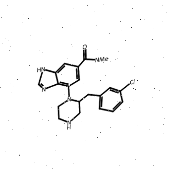 CNC(=O)c1cc(N2CCNCC2Cc2cccc(Cl)c2)c2nc[nH]c2c1